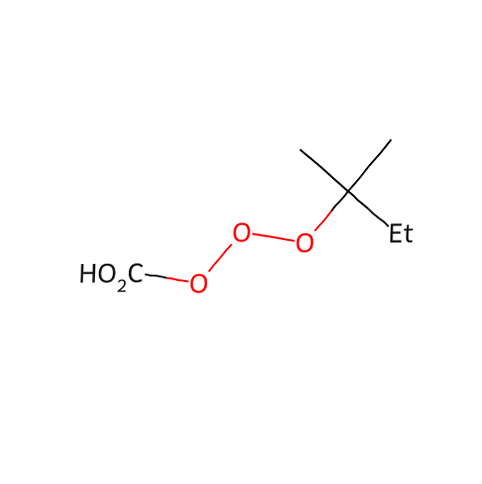 CCC(C)(C)OOOC(=O)O